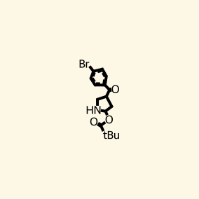 CC(C)(C)C(=O)OC1CC(C(=O)c2ccc(Br)cc2)CN1